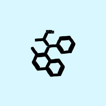 CNC(C)N(c1ccccc1)c1c(C)ccc2ccccc12